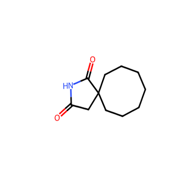 O=C1CC2(CCCCCCC2)C(=O)N1